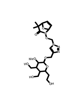 COC1C(OCc2cn(CON3C(=O)C(C)(C)C4C=CC3O4)nn2)OC(CCO)C(CO)C1CO